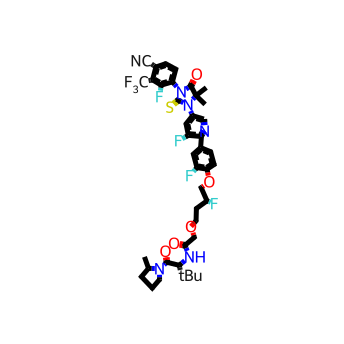 CC1CCCN1C(=O)C(NC(=O)COCCC(F)COc1ccc(-c2ncc(N3C(=S)N(c4ccc(C#N)c(C(F)(F)F)c4F)C(=O)C3(C)C)cc2F)cc1F)C(C)(C)C